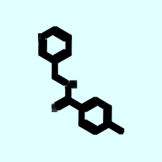 Cc1ccc(C(=S)NCc2cccnc2)cc1